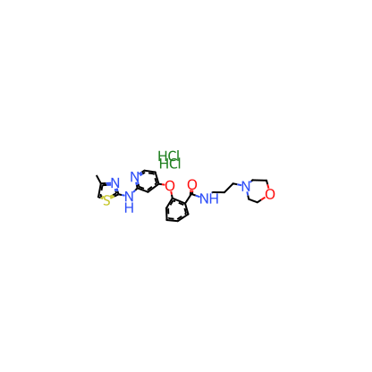 Cc1csc(Nc2cc(Oc3ccccc3C(=O)NCCCN3CCOCC3)ccn2)n1.Cl.Cl